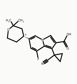 CC1(C)C[C@H](c2cc(F)c3c(C4(C#N)CC4)c(C(=O)O)cn3c2)CCO1